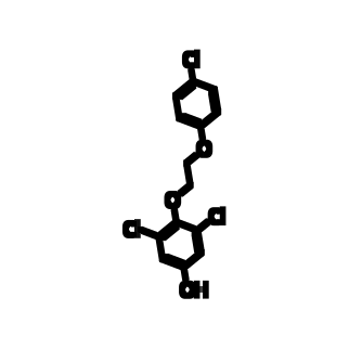 Oc1cc(Cl)c(OCCOc2ccc(Cl)cc2)c(Cl)c1